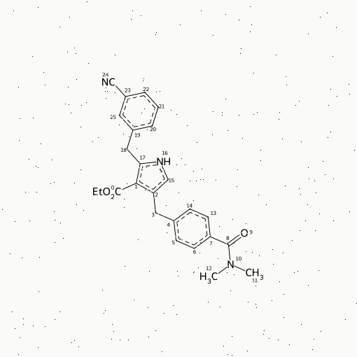 CCOC(=O)c1c(Cc2ccc(C(=O)N(C)C)cc2)c[nH]c1Cc1cccc(C#N)c1